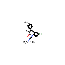 CC[C@@H]1C(=O)N(CCN(C)C)c2ccc(Cl)cc2C[C@@H]1c1ccc(OC)cc1